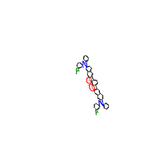 Fc1cccc(N(c2ccccc2)c2ccc3cc4c(cc3c2)oc2c4ccc3c4cc5ccc(N(c6ccccc6)c6cccc(F)c6)cc5cc4oc32)c1